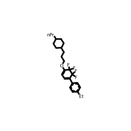 CCCC1CCC(CCCOC2=CC=C(c3ccc(CC)cc3)C(F)(F)C2(F)F)CC1